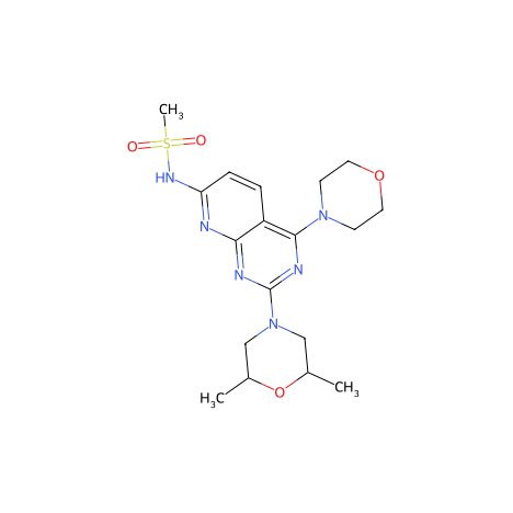 CC1CN(c2nc(N3CCOCC3)c3ccc(NS(C)(=O)=O)nc3n2)CC(C)O1